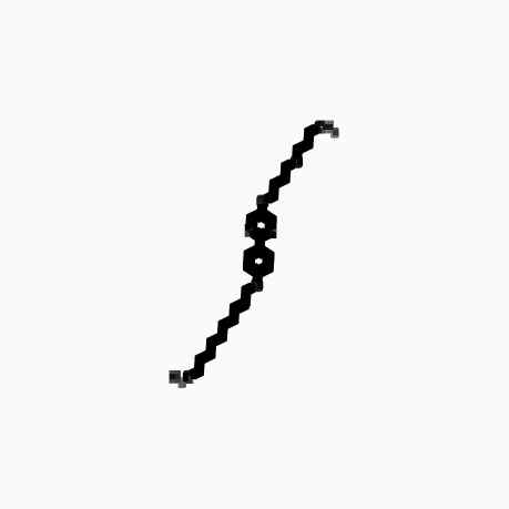 CCCCCCCC/C=C/COc1ccc(-c2ncc(OCCCCOCCCC)cn2)cc1